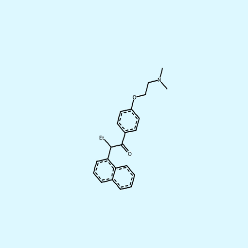 CCC(C(=O)c1ccc(OCCN(C)C)cc1)c1cccc2ccccc12